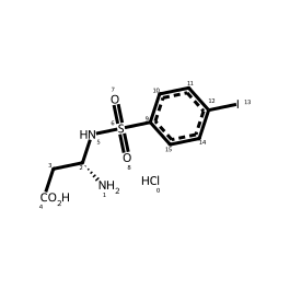 Cl.N[C@H](CC(=O)O)NS(=O)(=O)c1ccc(I)cc1